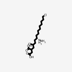 N.N.O=C(O)CC(CC(Cl)CCCCCCCCCCCCCl)C(=O)O